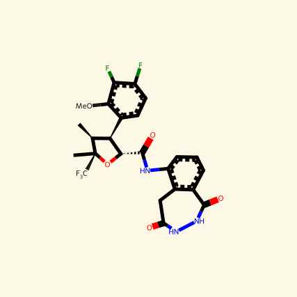 COc1c([C@H]2[C@H](C(=O)Nc3cccc4c3CC(=O)NNC4=O)O[C@@](C)(C(F)(F)F)[C@H]2C)ccc(F)c1F